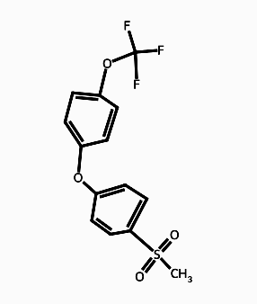 CS(=O)(=O)c1ccc(Oc2ccc(OC(F)(F)F)cc2)cc1